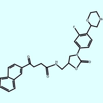 O=C(CCC(=O)c1ccc2ccccc2c1)NCC1CN(c2ccc(C3CNCCO3)c(F)c2)C(=O)O1